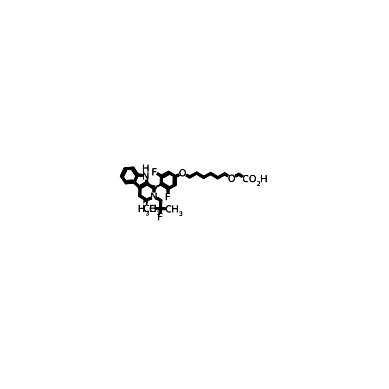 C[C@@H]1Cc2c([nH]c3ccccc23)[C@@H](c2c(F)cc(OCCCCCCOCC(=O)O)cc2F)N1CC(C)(C)F